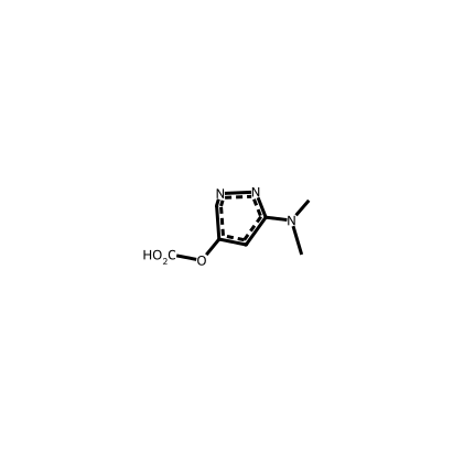 CN(C)c1cc(OC(=O)O)cnn1